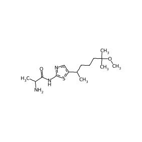 COC(C)(C)CCCC(C)c1cnc(NC(=O)C(C)N)s1